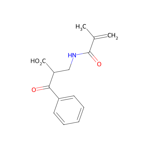 C=C(C)C(=O)NCC(C(=O)O)C(=O)c1ccccc1